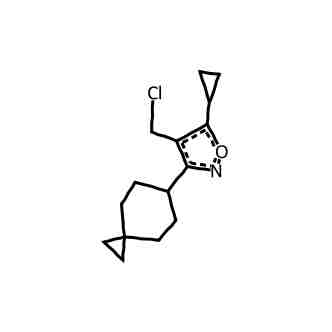 ClCc1c(C2CCC3(CC2)CC3)noc1C1CC1